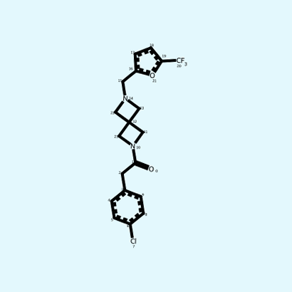 O=C(Cc1ccc(Cl)cc1)N1CC2(CN(Cc3ccc(C(F)(F)F)o3)C2)C1